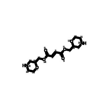 O=C(/C=C/C(=O)OCC1CNCCO1)OCC1CNCCO1